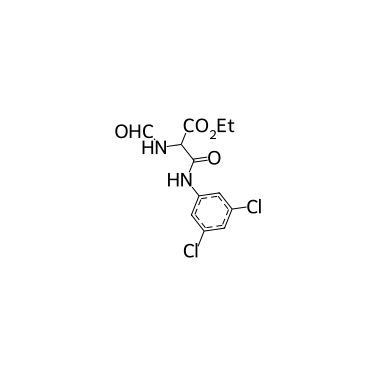 CCOC(=O)C(NC=O)C(=O)Nc1cc(Cl)cc(Cl)c1